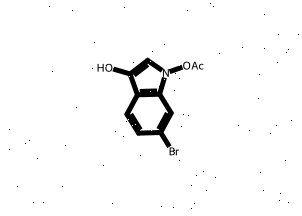 CC(=O)On1cc(O)c2ccc(Br)cc21